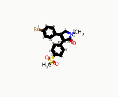 CN1CC(c2ccc(Br)cc2)=C(c2ccc(S(C)(=O)=O)cc2)C1=O